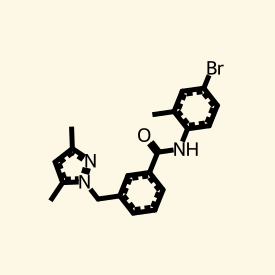 Cc1cc(C)n(Cc2cccc(C(=O)Nc3ccc(Br)cc3C)c2)n1